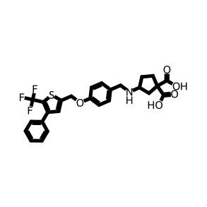 O=C(O)C1(C(=O)O)CCC(NCc2ccc(OCc3cc(-c4ccccc4)c(C(F)(F)F)s3)cc2)C1